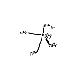 CCC[AsH](CCC)(CCC)CCC